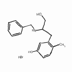 Br.Cc1ccc(O)cc1CC(CO)NCc1ccccc1